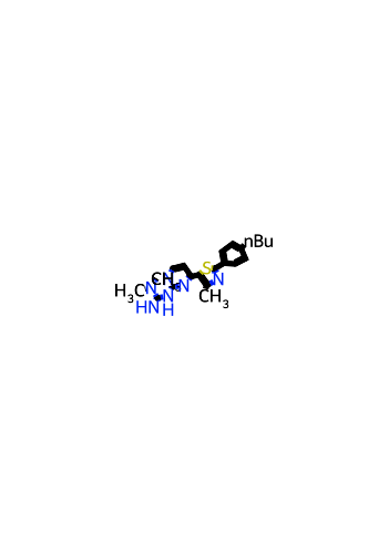 CCCCc1ccc(-c2nc(C)c(-c3ccnc(NC(=N)N(C)C)n3)s2)cc1